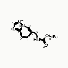 CC(C)(C)OC(=O)NCc1ccc2ncnn2c1